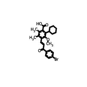 COc1c(C=CC(=O)c2ccc(Br)cc2)c(C)c(C)c(C(=O)O)c1C1CCCCC1